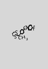 CC(=C1SCCCS1)c1ccc(Oc2ccc(F)cc2)cc1